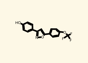 Oc1ccc(-c2cc(-c3ccc(OC(F)(F)F)cc3)on2)cc1